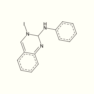 IN1C=c2ccccc2=NC1Nc1ccccc1